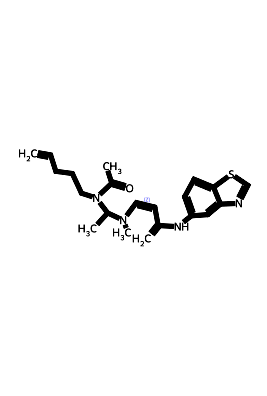 C=CCCCN(C(C)=O)C(C)N(C)/C=C\C(=C)Nc1ccc2scnc2c1